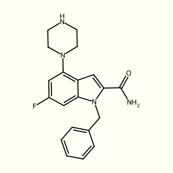 NC(=O)c1cc2c(N3CCNCC3)cc(F)cc2n1Cc1ccccc1